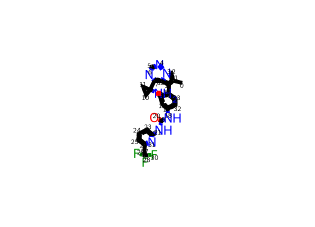 Cc1cn2ncnc(C3(N)CC3)c2c1-c1ccc(NC(=O)Nc2cccc(C(F)(F)F)n2)cc1